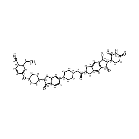 CCc1cc(O[C@H]2CC[C@H](N3Cc4cc(N5CCN(CC(=O)N6Cc7cc8c(cc7C6)C(=O)N(C6CCC(=O)NC6=O)C8=O)CC5)ccc4C3=O)CC2)ccc1C#N